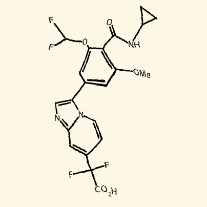 COc1cc(-c2cnc3cc(C(F)(F)C(=O)O)ccn23)cc(OC(F)F)c1C(=O)NC1CC1